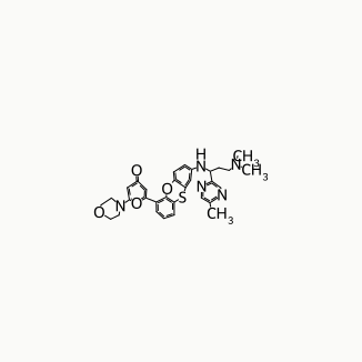 Cc1cnc(C(CCN(C)C)Nc2ccc3c(c2)Sc2cccc(-c4cc(=O)cc(N5CCOCC5)o4)c2O3)cn1